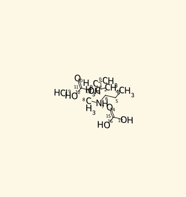 CC.CC.CCCNC.Cl.O=C(O)O.O=C(O)O